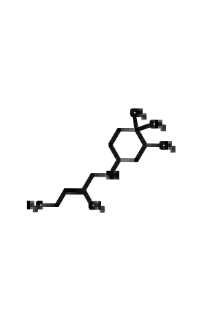 CC/C=C(\C)CNC1CCC(C)(C)C(C)C1